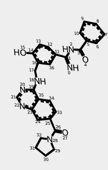 N=C(NC(=O)c1ccccc1)c1ccc(O)c(CNc2ncnc3cc(C(=O)N4CCCC4)ccc23)c1